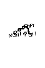 CCCCCCCC1(C#N)CCCC(c2ccc(-c3ccc(OC(CCC)CCCCCCO)cc3)cc2)C1